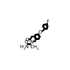 C[C@H](C(N)=O)N1Cc2ccc(OCc3ccc(F)cc3)cc2CC1=O